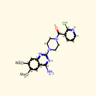 COc1cc2nc(N3CCN(C(=O)c4cccnc4Cl)CC3)nc(N)c2cc1OC